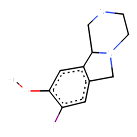 CCOc1cc2c(cc1I)CN1CCNCC21